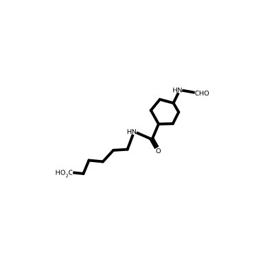 O=CNC1CCC(C(=O)NCCCCCC(=O)O)CC1